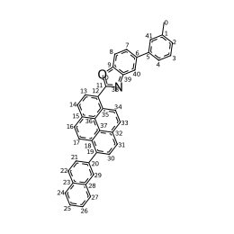 Cc1cccc(-c2ccc3oc(-c4ccc5ccc6c(-c7ccc8ccccc8c7)ccc7ccc4c5c76)nc3c2)c1